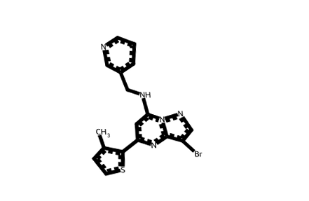 Cc1ccsc1-c1cc(NCc2cccnc2)n2ncc(Br)c2n1